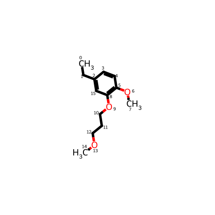 CCc1ccc(OC)c(OCCCOC)c1